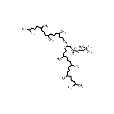 CC(C)CCCC(C)CCCC(C)CCCC(C)CCOC[C@H](COP(=O)([O-])OCC[N+](C)(C)C)OCCC(C)CCCC(C)CCCC(C)CCCC(C)C